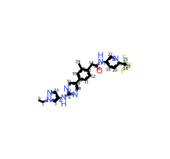 CCn1cc(Nc2ncc(-c3ccc(CC(=O)Nc4ccc(C(F)(F)F)nc4)c(C)c3)cn2)cn1